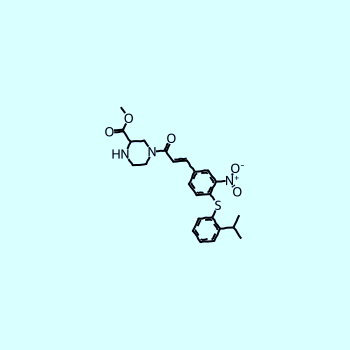 COC(=O)C1CN(C(=O)C=Cc2ccc(Sc3ccccc3C(C)C)c([N+](=O)[O-])c2)CCN1